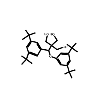 CC(C)(C)c1cc(OC(c2cc(C(C)(C)C)cc(C(C)(C)C)c2)C(CO)(CO)CO)cc(C(C)(C)C)c1